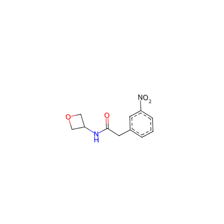 O=C(Cc1cccc([N+](=O)[O-])c1)NC1COC1